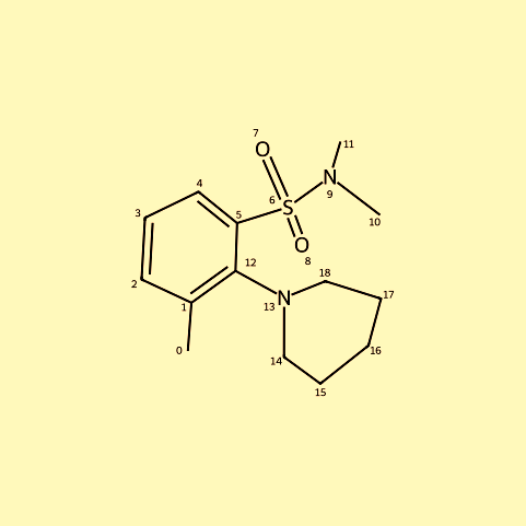 Cc1cccc(S(=O)(=O)N(C)C)c1N1CCCCC1